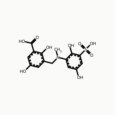 CN(Cc1cc(O)cc(C(=O)O)c1O)c1cc(O)cc(S(=O)(=O)O)c1O